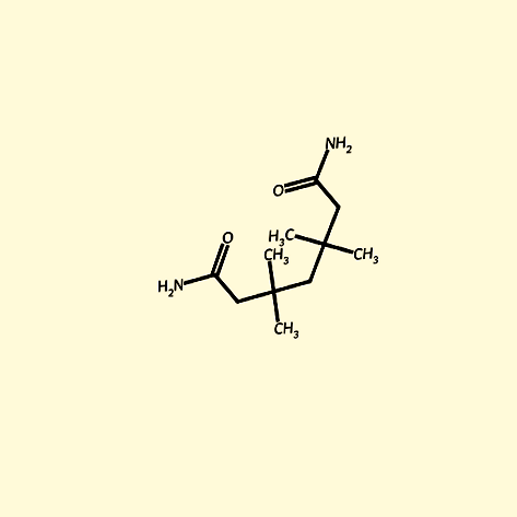 CC(C)(CC(N)=O)CC(C)(C)CC(N)=O